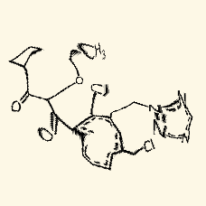 CCOC(C(=O)c1ccc(Cl)c(Cn2ncnn2)c1Cl)C(=O)C1CC1